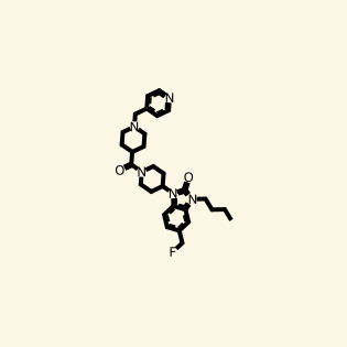 CCCCn1c(=O)n(C2CCN(C(=O)C3CCN(Cc4ccncc4)CC3)CC2)c2ccc(CF)cc21